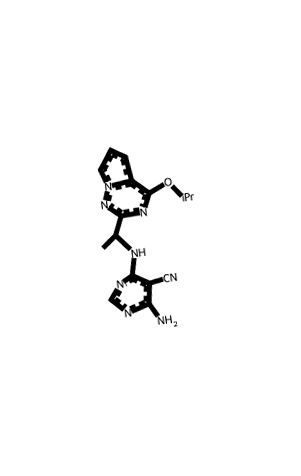 CC(C)Oc1nc(C(C)Nc2ncnc(N)c2C#N)nn2cccc12